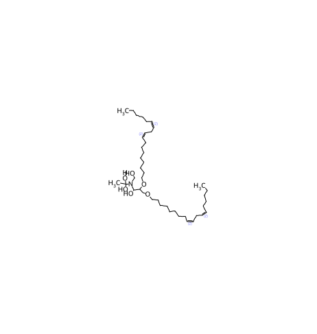 CCCCC/C=C\C/C=C\CCCCCCCCOCC(OCCCCCCCC/C=C\C/C=C\CCCCC)C(O)N(CO)C(C)(O)O